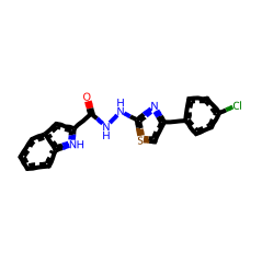 O=C(NNc1nc(-c2ccc(Cl)cc2)cs1)c1cc2ccccc2[nH]1